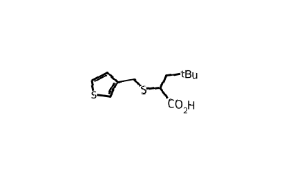 CC(C)(C)CC(SCc1ccsc1)C(=O)O